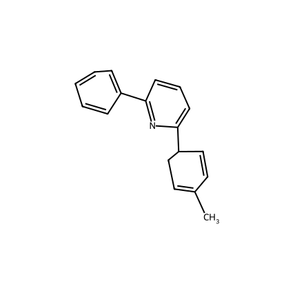 CC1=CCC(c2cccc(-c3ccccc3)n2)C=C1